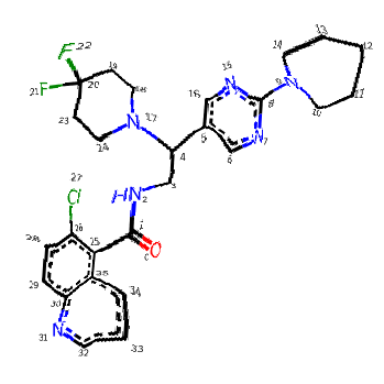 O=C(NCC(c1cnc(N2CCCCC2)nc1)N1CCC(F)(F)CC1)c1c(Cl)ccc2ncccc12